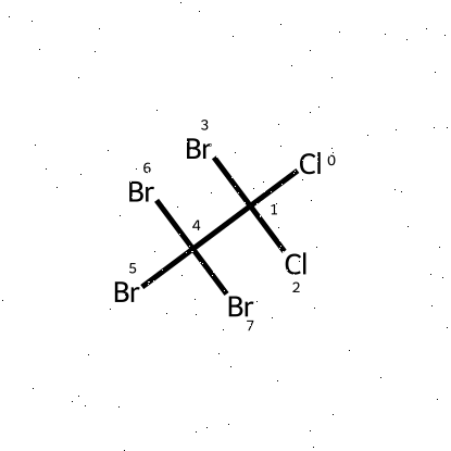 ClC(Cl)(Br)C(Br)(Br)Br